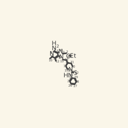 CCOCc1nc2c(N)nc(C)c(C)c2n1CCC1CCN(C(=S)Nc2ccccc2)CC1